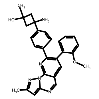 COc1ccccc1-c1cc2cnc3cc(C)nn3c2nc1-c1ccc(C2(N)CC(C)(O)C2)cc1